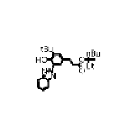 CCCCC(C)(CC)OC(=O)CCc1cc(-n2nc3ccccc3n2)c(O)c(C(C)(C)C)c1